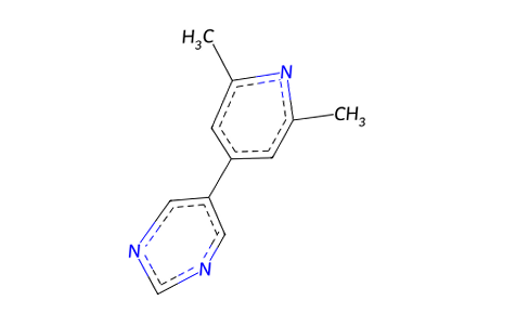 Cc1cc(-c2cncnc2)cc(C)n1